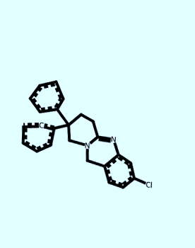 Clc1ccc2c(c1)N=C1CCC(c3ccccc3)(c3ccccc3)CN1C2